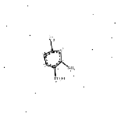 CCOC(=O)c1ccc(C(F)(F)F)nc1N